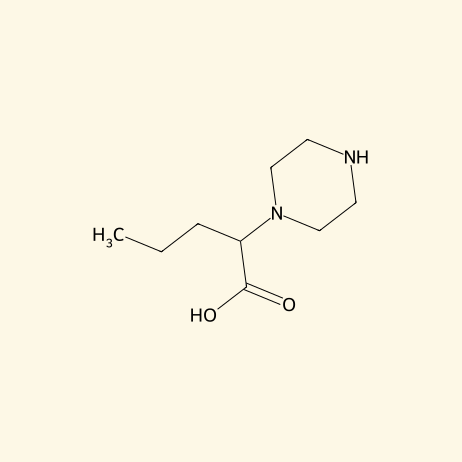 CCCC(C(=O)O)N1CCNCC1